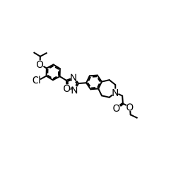 CCOC(=O)CN1CCc2ccc(-c3noc(-c4ccc(OC(C)C)c(Cl)c4)n3)cc2CC1